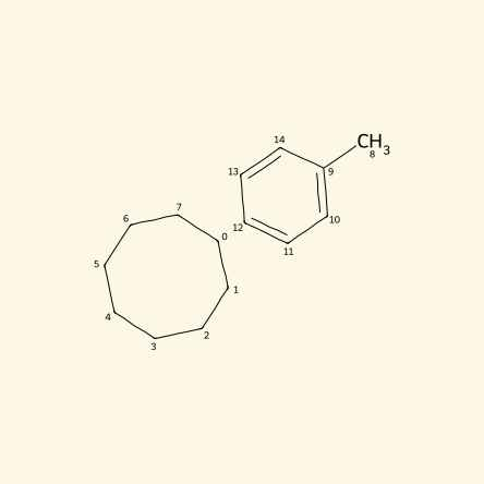 C1CCCCCCC1.Cc1ccccc1